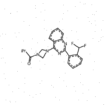 CC(C)C(=O)N1CN(c2nc(-c3ccccc3C(F)F)nc3ccccc23)C1